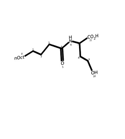 CCCCCCCCCCCC(=O)NC(CCO)C(=O)O